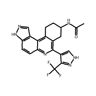 CC(=O)NC1CCc2c(c(-c3c[nH]nc3C(F)(F)F)nc3ccc4[nH]ncc4c23)C1